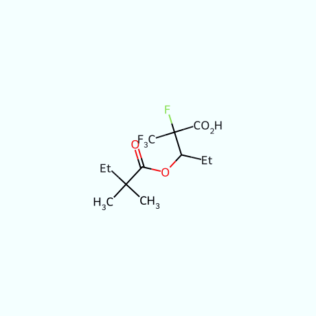 CCC(OC(=O)C(C)(C)CC)C(F)(C(=O)O)C(F)(F)F